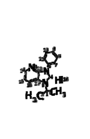 CC(C)N1CN(c2ccccc2)c2ncccc21.I